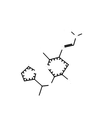 CCN(C)/C=N/c1cc(Br)c(OC(C)c2cccs2)nc1C